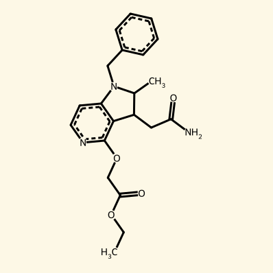 CCOC(=O)COc1nccc2c1C(CC(N)=O)C(C)N2Cc1ccccc1